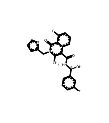 Cc1c(C(=O)N[C@@H](O)c2cccc(F)c2)c2cccc(F)c2c(=O)n1Cc1cccs1